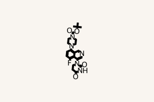 CC(C)(C)OC(=O)N1CCN(c2ccc(F)c3c(N4CCC(=O)NC4=O)cncc23)CC1